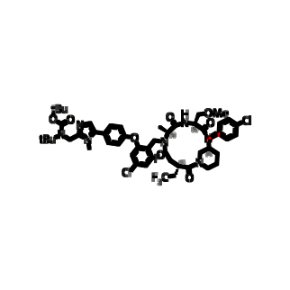 COC[C@@H]1NC(=O)[C@H](C)N(Cc2c(F)cc(Cl)cc2Oc2ccc(-c3cnc(CN(C(=O)OC(C)(C)C)C(C)(C)C)n3C)cc2)C(=O)C[C@@H](CC(F)(F)F)C(=O)N2CCC[C@@](Cc3ccc(Cl)cc3)(C2)N(C)C1=O